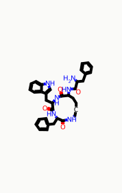 NC(Cc1ccccc1)C(=O)NC1CCCCNC(=O)C(Cc2ccccc2)NC(=O)C(Cc2c[nH]c3ccccc23)NC1=O